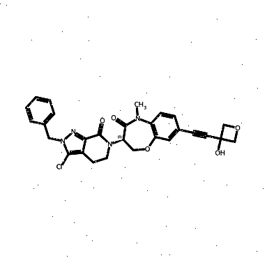 CN1C(=O)[C@H](N2CCc3c(nn(Cc4ccccc4)c3Cl)C2=O)COc2cc(C#CC3(O)COC3)ccc21